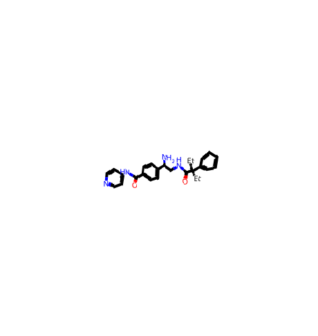 CCC(CC)(C(=O)NCC(N)c1ccc(C(=O)Nc2ccncc2)cc1)c1ccccc1